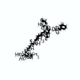 COP(O)(=S)CC1[C@@H](COC(=O)OCc2ccccc2)O[C@@H](n2ccc(=O)[nH]c2=O)[C@H]1CCCCCCCNC(=S)NCCCCO[C@@H]1O[C@H](CO)[C@H](O)[C@H](O)[C@H]1NC(C)=O